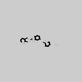 COc1ccc(COc2ccc3oc(N4Cc5cccnc5C4)nc3c2)nc1